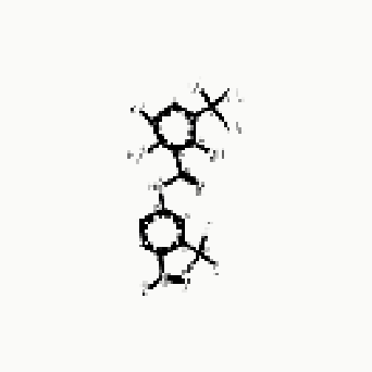 Cc1c(Cl)cc(C(C)(C)C)c(O)c1C(=O)Nc1ccc([N+](=O)[O-])c(C(F)(F)F)c1